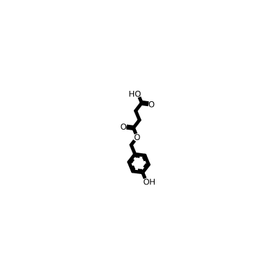 O=C(O)CCC(=O)OCc1ccc(O)cc1